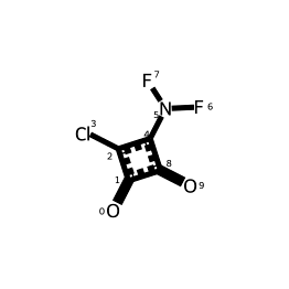 O=c1c(Cl)c(N(F)F)c1=O